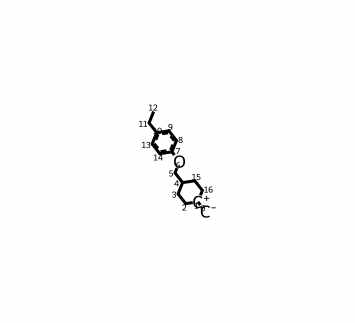 [CH2-][C+]1CCC(COc2ccc(CC)cc2)CC1